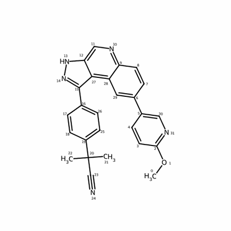 COc1ccc(-c2ccc3ncc4[nH]nc(-c5ccc(C(C)(C)C#N)cc5)c4c3c2)cn1